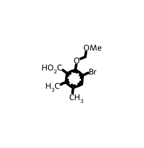 COCOc1c(Br)cc(C)c(C)c1C(=O)O